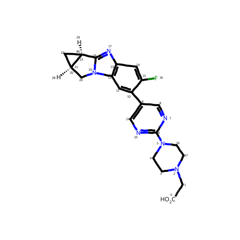 O=C(O)CN1CCN(c2ncc(-c3cc4c(cc3F)nc3n4C[C@H]4C[C@@H]34)cn2)CC1